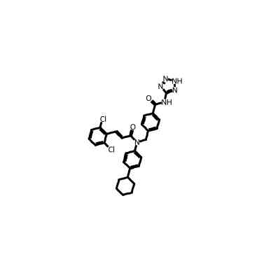 O=C(Nc1nn[nH]n1)c1ccc(CN(C(=O)/C=C/c2c(Cl)cccc2Cl)c2ccc(C3CCCCC3)cc2)cc1